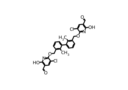 Cc1c(COc2nc(O)c(C=O)cc2Cl)cccc1-c1cccc(COc2nc(O)c(C=O)cc2Cl)c1C